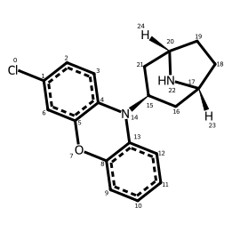 Clc1ccc2c(c1)Oc1ccccc1N2[C@@H]1C[C@H]2CC[C@@H](C1)N2